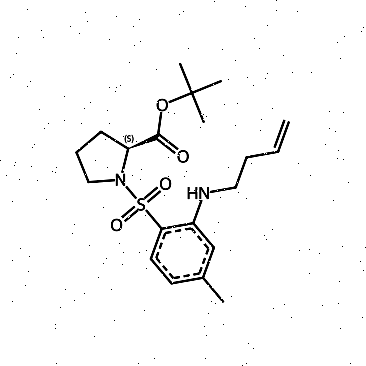 C=CCCNc1cc(C)ccc1S(=O)(=O)N1CCC[C@H]1C(=O)OC(C)(C)C